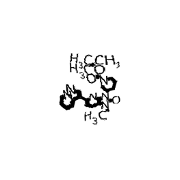 CCn1c(=O)n([C@H]2CCCN(C(=O)OC(C)(C)C)C2)c2nc(-c3cnn4ccccc34)ccc21